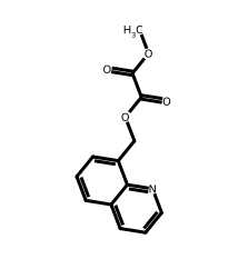 COC(=O)C(=O)OCc1cccc2cccnc12